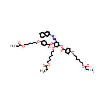 C=CC(=O)OCCCCCCOc1ccc(C(=O)Oc2cc(/C=N/Nc3ccc4ccccc4c3)c(OC(=O)c3ccc(OCCCCCCOC(=O)C=C)cc3)c(OCCCCCCOC(=O)C=C)c2)cc1